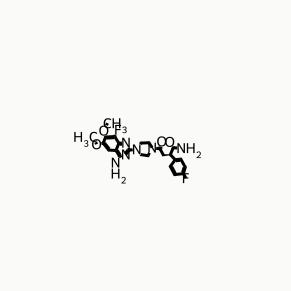 COc1cc2c(N)nc(N3CCN(C(=O)C[C@@H](C(N)=O)c4ccc(F)cc4)CC3)nc2c(F)c1OC